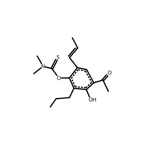 CC=Cc1cc(C(C)=O)c(O)c(CCC)c1OC(=S)N(C)C